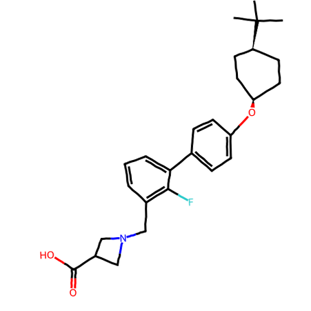 CC(C)(C)[C@H]1CC[C@@H](Oc2ccc(-c3cccc(CN4CC(C(=O)O)C4)c3F)cc2)CC1